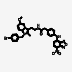 COC1=CC2C(CCNC(=O)Cc3ccc(Nc4ccc([N+](=O)[O-])c5nonc45)cc3)=C(C)N(Cc3ccc(Br)cc3)C2C=C1